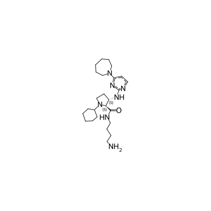 NCCCCNC(=O)[C@@H]1[C@@H](Nc2nccc(N3CCCCCC3)n2)CCN1C1CCCCC1